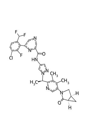 Cc1c(N2C[C@H]3C[C@H]3C2=O)cnc([C@@H](C)n2cc(NC(=O)c3cncc(-c4c(C(F)F)ccc(Cl)c4F)n3)cn2)c1C